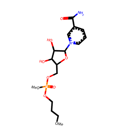 COCCCOP(=O)(OC)OCC1OC([n+]2cccc(C(N)=O)c2)C(O)C1O